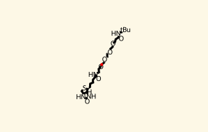 CC(C)(C)CNC(=O)CCOCCOCCOCCOCCNC(=O)CCCC[C@@H]1SCC2NC(=O)N[C@@H]21